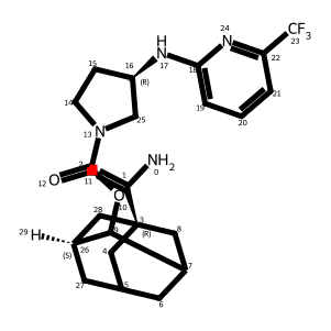 NC(=O)[C@]12CC3CC(C1)C(OC(=O)N1CC[C@@H](Nc4cccc(C(F)(F)F)n4)C1)[C@@H](C3)C2